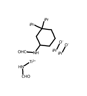 CC(C)C1(C(C)C)CCCC(NC=O)C1.CC(C)[O-].CC(C)[O-].O=C[NH][Ti+2]